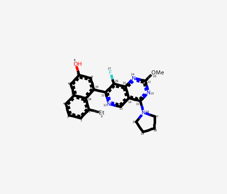 CCc1cccc2cc(O)cc(-c3ncc4c(N5CCCC5)nc(OC)nc4c3F)c12